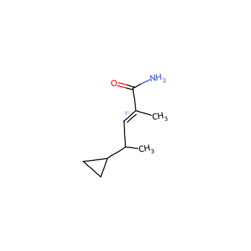 C/C(=C\C(C)C1CC1)C(N)=O